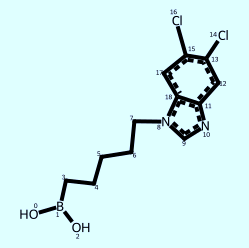 OB(O)CCCCCn1cnc2cc(Cl)c(Cl)cc21